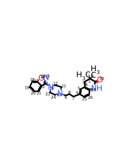 CC1(C)Cc2cc(CCCN3CCN(c4noc5ccccc45)CC3)ccc2NC1=O